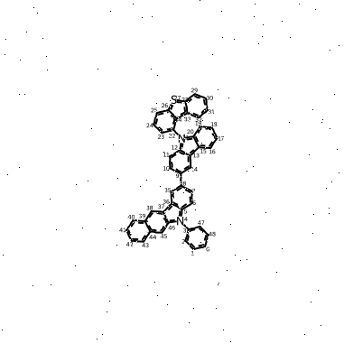 c1ccc(-n2c3ccc(-c4ccc5c(c4)c4ccccc4n5-c4cccc5sc6ccccc6c45)cc3c3cc4ccccc4cc32)cc1